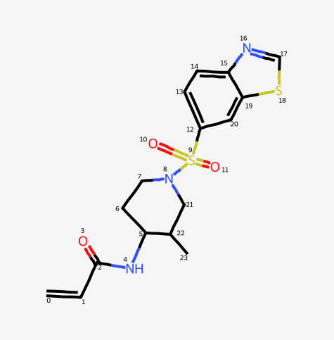 C=CC(=O)NC1CCN(S(=O)(=O)c2ccc3ncsc3c2)CC1C